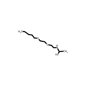 CCCCCOCCOCCNC(C)S